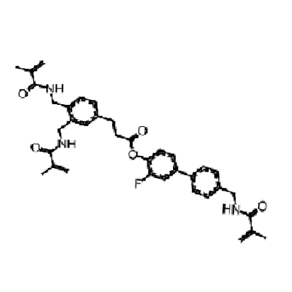 C=C(C)C(=O)NCc1ccc(-c2ccc(OC(=O)CCc3ccc(CNC(=O)C(=C)C)c(CNC(=O)C(=C)C)c3)c(F)c2)cc1